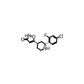 O=c1cc([C@@H]2CCN[C@@H](c3ccc(Cl)cc3F)C2)o[nH]1